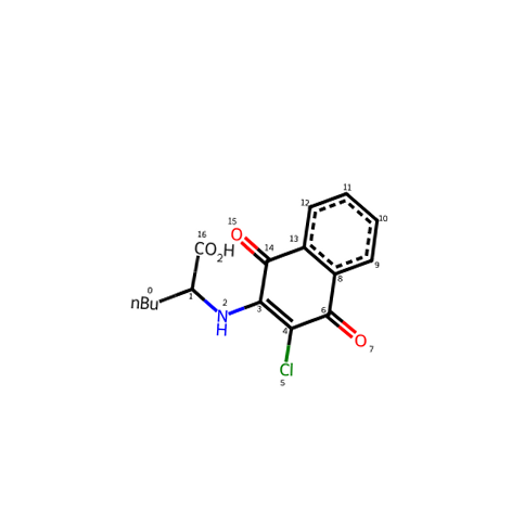 CCCCC(NC1=C(Cl)C(=O)c2ccccc2C1=O)C(=O)O